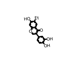 CCc1cc2c(=O)c(-c3ccc(O)c(O)c3)coc2cc1O